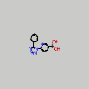 OB(O)c1ccc(-n2nnnc2-c2ccccc2)nc1